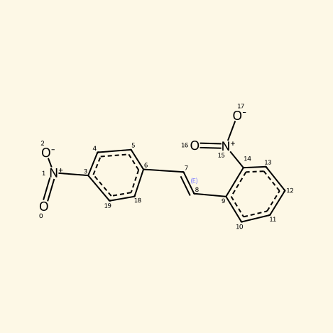 O=[N+]([O-])c1ccc(/C=C/c2ccccc2[N+](=O)[O-])cc1